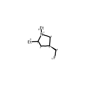 CCC1C[C@H](CF)CN1CC